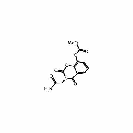 COC(=O)Oc1cccc2c(=O)n(CC(N)=O)c(=O)oc12